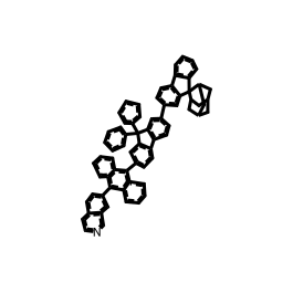 c1ccc(C2(c3ccccc3)c3cc(-c4ccc5c(c4)C4(c6ccccc6-5)C5CC6CC(C5)CC4C6)ccc3-c3ccc(-c4c5ccccc5c(-c5ccc6ccncc6c5)c5ccccc45)cc32)cc1